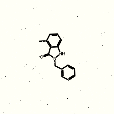 Cc1cccc2[nH]n(Cc3ccccc3)c(=O)c12